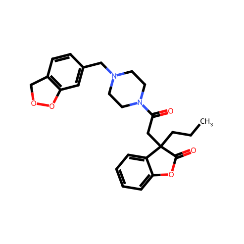 CCCC1(CC(=O)N2CCN(Cc3ccc4c(c3)OOC4)CC2)C(=O)Oc2ccccc21